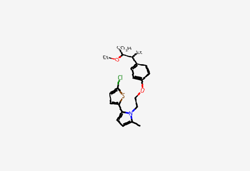 CCOC(C(=O)O)C(CC)c1ccc(OCCn2c(C)ccc2-c2ccc(Cl)s2)cc1